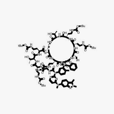 Cc1ccc(N(C(=O)NCC(=O)N[C@H](CCNC(=O)OC(C)(C)C)C(=O)N[C@H](C(=O)N[C@@H](CCNC(=O)OC(C)(C)C)C(=O)N[C@@H]2CCNC(=O)[C@@H]([C@H](C)O)NC(O)[C@H](CCNC(=O)OC(C)(C)C)NC(=O)[C@H](CCNC(=O)OC(C)(C)C)NC(=O)[C@H](CC(C)C)NC(=O)[C@H](Cc3ccccc3)NC(=O)[C@H](CCNC(=O)OC(C)(C)C)NC2=O)[C@H](C)O)c2nccc(N(C)c3ccc4c(C)n(C)nc4c3)n2)cc1S(N)(=O)=O